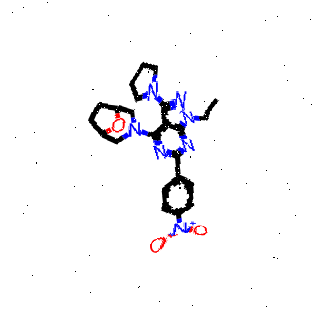 CCn1nc(N2CCCC2)c2c(N3CC4CCC(C3)O4)nc(-c3ccc([N+](=O)[O-])cc3)nc21